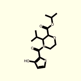 CC(C)OC(=O)C1OCCN(C(=O)c2sccc2O)C1C(C)C